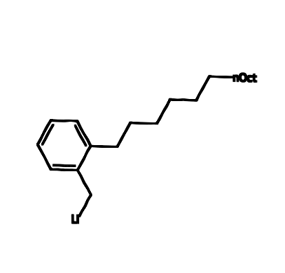 [Li][CH2]c1ccccc1CCCCCCCCCCCCCC